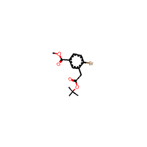 COC(=O)c1ccc(Br)c(CC(=O)OC(C)(C)C)c1